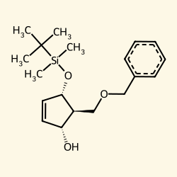 CC(C)(C)[Si](C)(C)O[C@H]1C=C[C@@H](O)[C@@H]1COCc1ccccc1